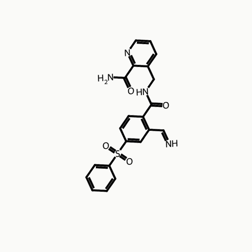 N=Cc1cc(S(=O)(=O)c2ccccc2)ccc1C(=O)NCc1cccnc1C(N)=O